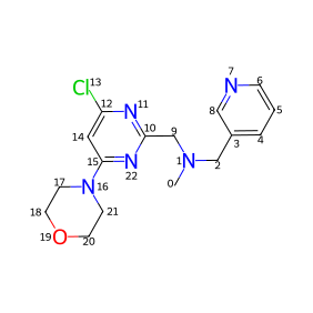 CN(Cc1cccnc1)Cc1nc(Cl)cc(N2CCOCC2)n1